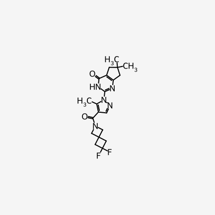 Cc1c(C(=O)N2CC3(C2)CC(F)(F)C3)cnn1-c1nc2c(c(=O)[nH]1)CC(C)(C)C2